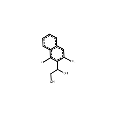 Cc1cc2ccccc2c(Cl)c1C(O)CO